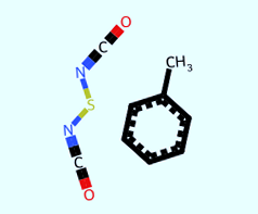 Cc1ccccc1.O=C=NSN=C=O